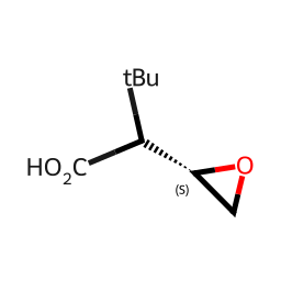 CC(C)(C)C(C(=O)O)[C@H]1CO1